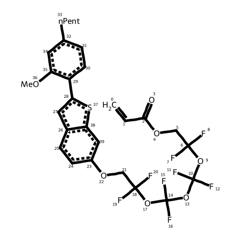 C=CC(=O)OCC(F)(F)OC(F)(F)OC(F)(F)OC(F)(F)COc1ccc2cc(-c3ccc(CCCCC)cc3OC)sc2c1